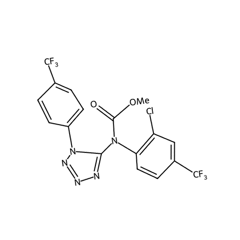 COC(=O)N(c1ccc(C(F)(F)F)cc1Cl)c1nnnn1-c1ccc(C(F)(F)F)cc1